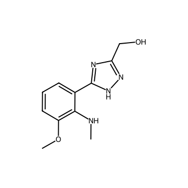 CNc1c(OC)cccc1-c1nc(CO)n[nH]1